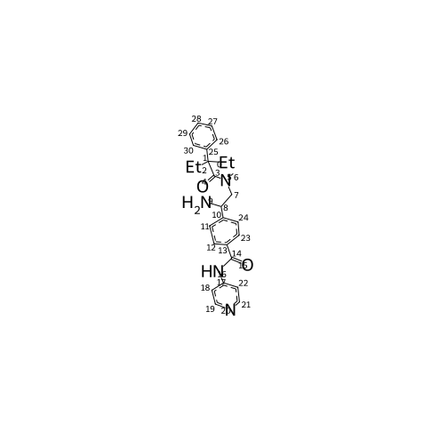 CCC(CC)(C(=O)N(C)CC(N)c1ccc(C(=O)Nc2ccncc2)cc1)c1ccccc1